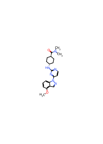 COc1cccc2c1cnn2-c1ccnc(N[C@H]2CC[C@H](C(=O)N(C)C)CC2)n1